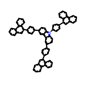 c1ccc2c(c1)cc(-c1ccc(-c3ccc4c(c3)c3cc(-c5ccc(-c6cc7ccccc7c7ccccc67)cc5)ccc3n4-c3ccc(-c4cc5ccccc5c5ccccc45)cc3)cc1)c1ccccc12